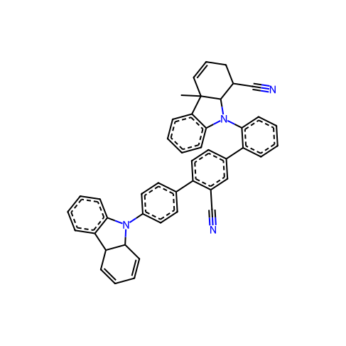 CC12C=CCC(C#N)C1N(c1ccccc1-c1ccc(-c3ccc(N4c5ccccc5C5C=CC=CC54)cc3)c(C#N)c1)c1ccccc12